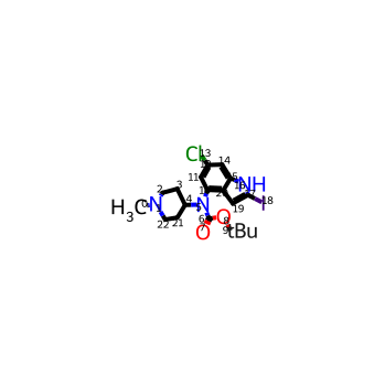 CN1CCC(N(C(=O)OC(C)(C)C)c2cc(Cl)cc3[nH]c(I)cc23)CC1